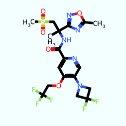 Cc1nc(C(C)(CS(C)(=O)=O)NC(=O)c2cc(OCC(F)(F)F)c(N3CC(F)(F)C3)cn2)no1